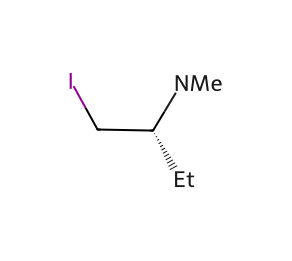 CC[C@H](CI)NC